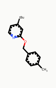 Cc1ccc(COc2cc(C(C)(C)C)ccn2)cc1